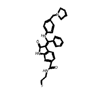 O=C1Nc2cc(C(=O)NCCF)ccc2/C1=C(/Nc1ccc(CN2CCCC2)cc1)c1ccccc1